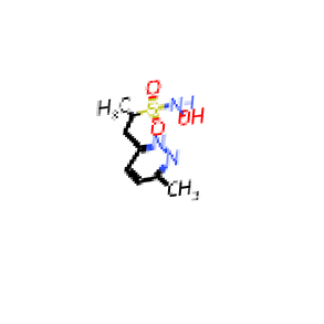 Cc1ccc(CC(C)S(=O)(=O)NO)nn1